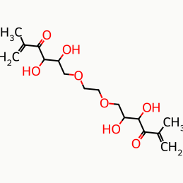 C=C(C)C(=O)C(O)C(O)COCCOCC(O)C(O)C(=O)C(=C)C